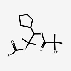 CCC(C)(C)C(=O)OC(C1CCCC1)C(C)(C)OC(=O)C(C)C